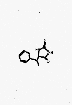 CC(c1ccccc1)C1NC(=S)NC1=O